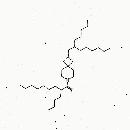 CCCCCCCC(CCCC)C(=O)N1CCC2(CC1)CC(CC(CCCCC)CCCCCC)C2